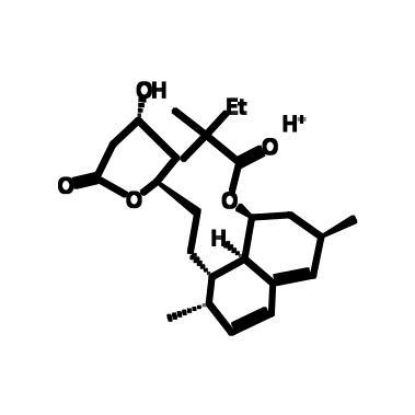 CCC(C)(C)C(=O)O[C@H]1C[C@@H](C)C=C2C=C[C@H](C)[C@H](CC[C@@H]3C[C@@H](O)CC(=O)O3)[C@H]21.[H+]